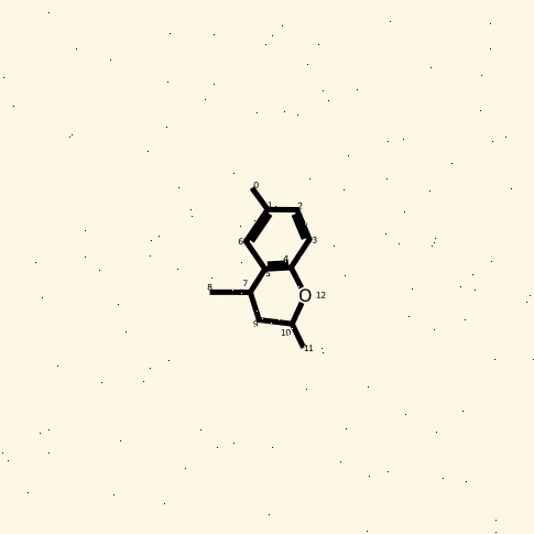 Cc1ccc2c(c1)C(C)CC(C)O2